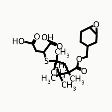 CC(C)(CC(C)(C(=O)OCC1CCC2OC2C1)C(C)(C)C)SC(CC(=O)O)C(=O)O